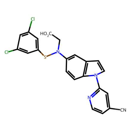 N#Cc1ccnc(-n2ccc3cc(N(CC(=O)O)Sc4cc(Cl)cc(Cl)c4)ccc32)c1